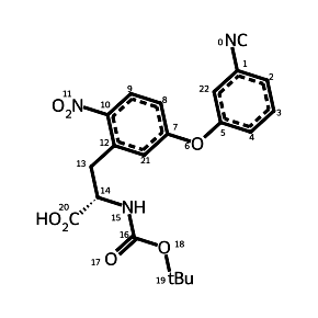 [C-]#[N+]c1cccc(Oc2ccc([N+](=O)[O-])c(C[C@H](NC(=O)OC(C)(C)C)C(=O)O)c2)c1